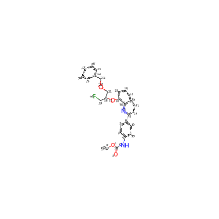 CC(C)(C)OC(=O)Nc1ccc(-c2ccc3cccc(OC(CF)COCc4ccccc4)c3n2)cc1